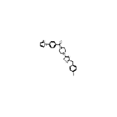 O=C(c1ccc(-n2cccn2)cc1)N1CCN(c2nc(Cc3ccc(F)cc3)ns2)CC1